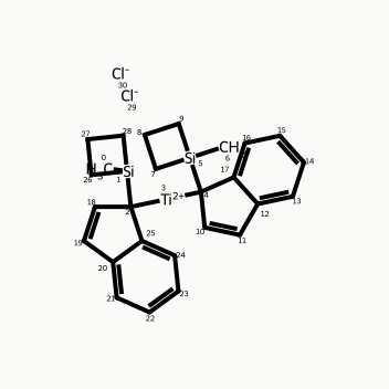 C[Si]1([C]2([Ti+2][C]3([Si]4(C)CCC4)C=Cc4ccccc43)C=Cc3ccccc32)CCC1.[Cl-].[Cl-]